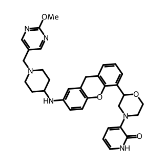 COc1ncc(CN2CCC(Nc3ccc4c(c3)Cc3cccc(C5CN(c6ccc[nH]c6=O)CCO5)c3O4)CC2)cn1